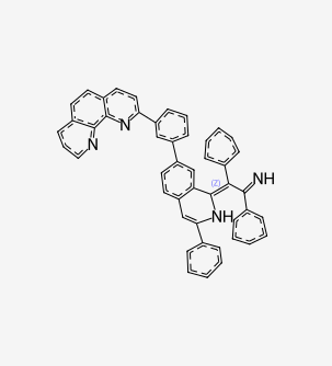 N=C(/C(=C1\NC(c2ccccc2)=Cc2ccc(-c3cccc(-c4ccc5ccc6cccnc6c5n4)c3)cc21)c1ccccc1)c1ccccc1